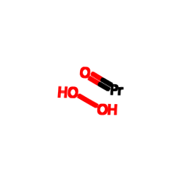 OO.[O]=[Pr]